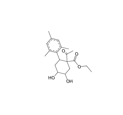 CCOC(=O)C1(C(C)=O)CC(O)C(O)CC1c1c(C)cc(C)cc1C